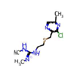 C/N=C(\NC#N)NCCSCc1ncc(C)nc1Cl